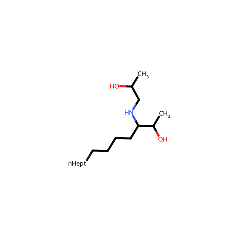 CCCCCCCCCCCC(NCC(C)O)C(C)O